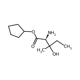 CCC(C)(O)[C@H](N)C(=O)OC1CCCC1